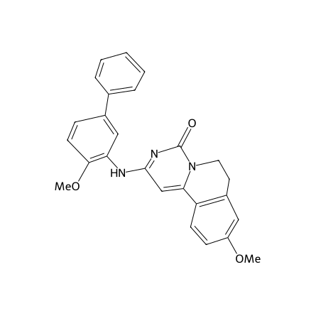 COc1ccc2c(c1)CCn1c-2cc(Nc2cc(-c3ccccc3)ccc2OC)nc1=O